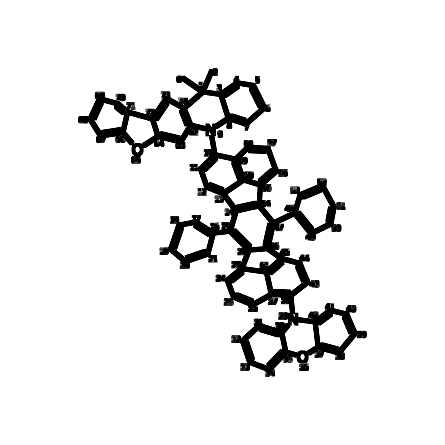 CC1(C)c2ccccc2N(c2ccc3c4c(-c5ccccc5)c5c6cccc7c(N8c9ccccc9Oc9ccccc98)ccc(c5c(-c5ccccc5)c4c4cccc2c43)c76)c2cc3oc4ccccc4c3cc21